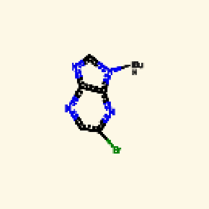 CC[C@H](C)n1cnc2ncc(Br)nc21